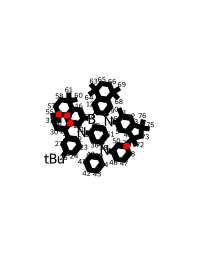 Cc1cc2c(cc1N1c3cc4c(cc3B3c5cc6c(cc5N(c5ccc(C(C)(C)C)cc5-c5ccccc5)c5cc(N(c7ccccc7)c7ccccc7)cc1c53)C(C)(C)CCC6(C)C)C(C)(C)CCC4(C)C)C(C)(C)CC2(C)C